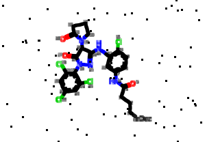 CCCCCCCCCCCCCC(=O)Nc1ccc(Cl)c(NC2=NN(c3c(Cl)cc(Cl)cc3Cl)C(=O)C2N2CCCC2=O)c1